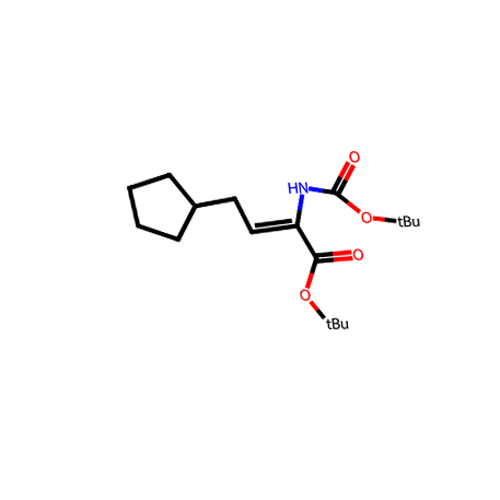 CC(C)(C)OC(=O)NC(=CCC1CCCC1)C(=O)OC(C)(C)C